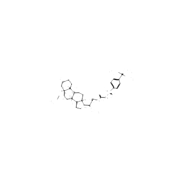 CC[C@H]1C[C@@H]2[C@H](CC[C@]3(C)[C@@H]([C@H](C)CNC(=O)NS(=O)(=O)c4ccc(C(C)(C)C)cc4)CC[C@@H]23)[C@@]2(C)CC[C@@H](O)C[C@@H]12